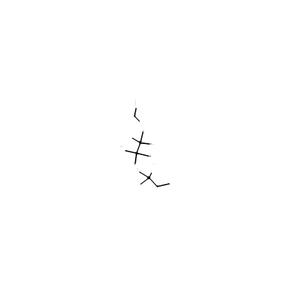 CCC(F)(F)OC(F)(F)C(F)(F)OCF